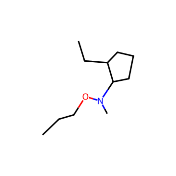 CCCON(C)C1CCCC1CC